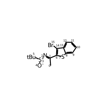 C/C(=N\[S+]([O-])C(C)(C)C)c1sc2ccccc2c1Br